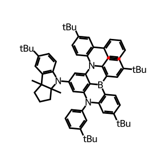 CC(C)(C)c1cccc(N2c3cc(C(C)(C)C)ccc3B3c4cc(C(C)(C)C)ccc4N(c4ccc(C(C)(C)C)cc4-c4ccccc4)c4cc(N5c6ccc(C(C)(C)C)cc6C6(C)CCCC56C)cc2c43)c1